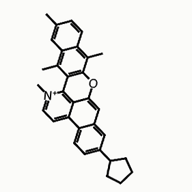 Cc1ccc2c(C)c3c(c(C)c2c1)-c1c2c(cc4cc(C5CCCC5)ccc4c2cc[n+]1C)O3